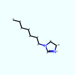 CCCCCCCN1C=NCC1